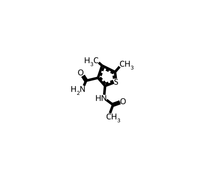 CC(=O)Nc1sc(C)c(C)c1C(N)=O